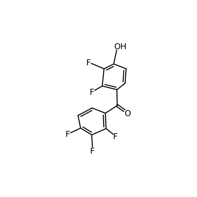 O=C(c1ccc(O)c(F)c1F)c1ccc(F)c(F)c1F